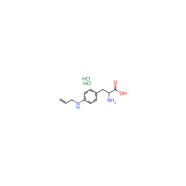 C=CCNc1ccc(CC(N)C(=O)O)cc1.Cl.Cl